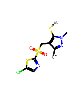 CCSc1c(CS(=O)(=O)c2ncc(Cl)s2)c(C(F)(F)F)nn1C